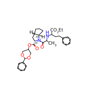 CCOC(=O)C(CCc1ccccc1)NC(C)C(=O)N1[C@H](C(=O)OC2COC(c3ccccc3)OC2)C[C@@H]2CCC[C@@H]21